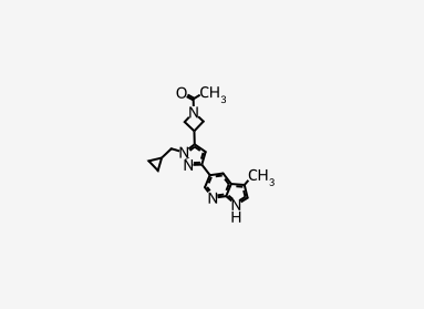 CC(=O)N1CC(c2cc(-c3cnc4[nH]cc(C)c4c3)nn2CC2CC2)C1